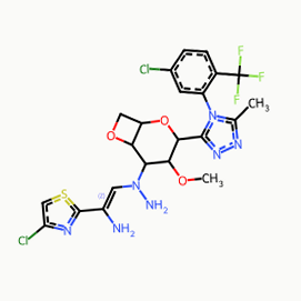 COC1C(c2nnc(C)n2-c2cc(Cl)ccc2C(F)(F)F)OC2COC2C1N(N)/C=C(\N)c1nc(Cl)cs1